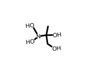 CC(O)(CO)N(O)O